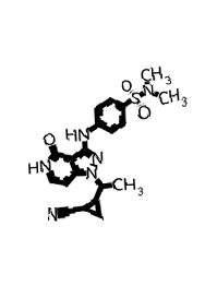 CC(C1CC1C#N)n1nc(Nc2ccc(S(=O)(=O)N(C)C)cc2)c2c(=O)[nH]ccc21